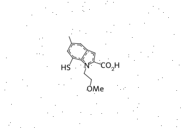 COCCn1c(C(=O)O)cc2cc(C)cc(S)c21